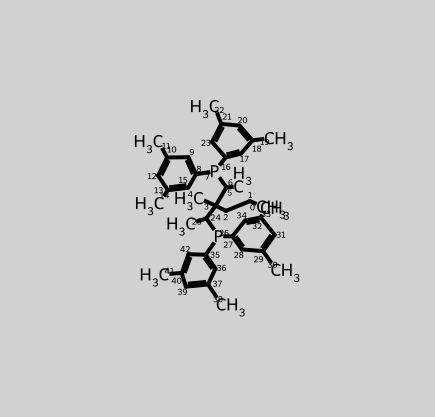 CCCC(C)(C(C)P(c1cc(C)cc(C)c1)c1cc(C)cc(C)c1)C(C)P(c1cc(C)cc(C)c1)c1cc(C)cc(C)c1